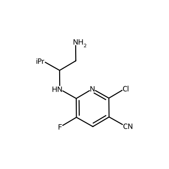 CC(C)C(CN)Nc1nc(Cl)c(C#N)cc1F